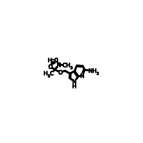 COC(C)(OCc1c[nH]c2nc(N)ccc12)N(C)C